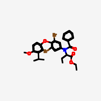 CCOC(=O)C(CC)N(C(=O)c1ccccc1)c1cc(Br)c(Oc2ccc(OC)c(C(C)C)c2)c(Br)c1